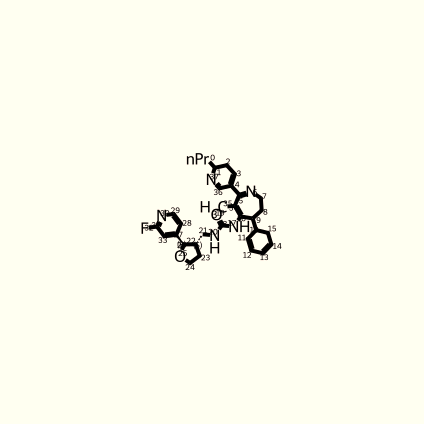 CCCC1CC=C(C2=NCCC(C3C=CC=CC3)C(NC(=O)NC[C@@H]3CCO[C@H]3c3ccnc(F)c3)=C2C)C=N1